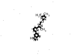 Cc1cnc(OCc2nc(C)c(-c3cccc(-c4cc(F)c5nn[nH]c5c4)n3)s2)nc1C